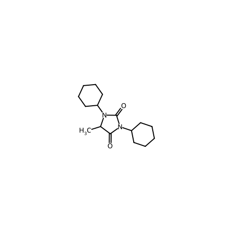 CC1C(=O)N(C2CCCCC2)C(=O)N1C1CCCCC1